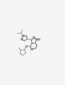 CC1CCCC1Oc1nccc2[nH]nc(-c3cnn(C(C)C)c3)c12